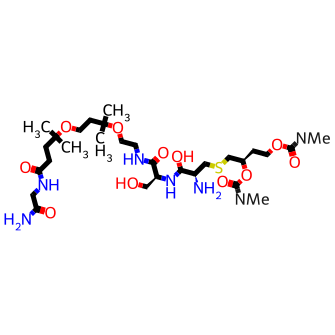 CNC(=O)OCC[C@H](CSC[C@H](N)C(O)N[C@@H](CO)C(=O)NCCOC(C)(C)CCOC(C)(C)CCC(=O)NCC(N)=O)OC(=O)NC